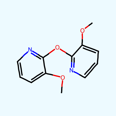 COc1cccnc1Oc1ncccc1OC